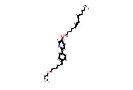 CCCCCCC=CCCCCOc1ccc(-c2ccc(CCCCCOCCC)cc2)nc1